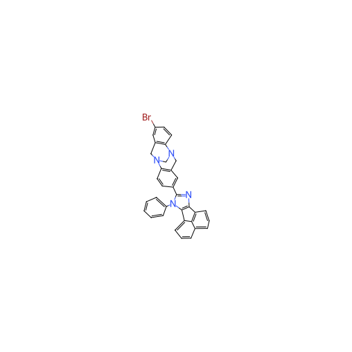 Brc1ccc2c(c1)CN1CN2Cc2cc(-c3nc4c(n3-c3ccccc3)-c3cccc5cccc-4c35)ccc21